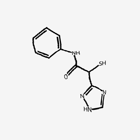 O=C(Nc1ccccc1)C(S)c1nc[nH]n1